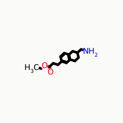 CCOC(=O)CCc1ccc2c(c1)CCC(CN)C2